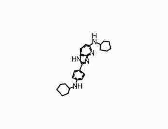 c1cc(-c2nc3nc(NC4CCCCC4)ccc3[nH]2)ccc1NC1CCCCC1